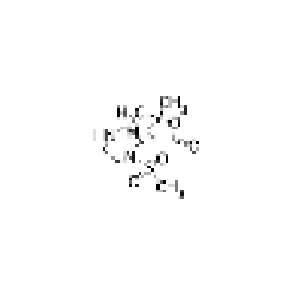 CC(C)(C)OC=O.CS(=O)(=O)N1CCNCC1